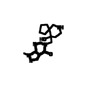 Cn1ncc2c(=O)n(CC3(O)CCNCC34CCCC4)cnc21